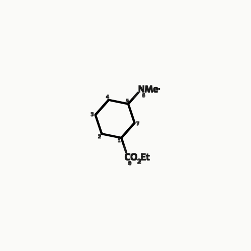 CCOC(=O)C1CCCC([N]C)C1